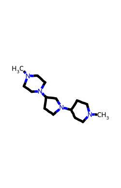 CN1CCC(N2CCC(N3CCN(C)CC3)C2)CC1